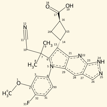 COc1cc(-n2c(C(C)(C)CC#N)c([C@H]3C[C@H](C(=O)O)C3)c3nc4[nH]ncc4cc32)ccc1F